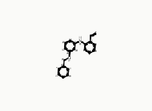 C=Cc1ccccc1Nc1cccc(OCc2ccccc2)c1